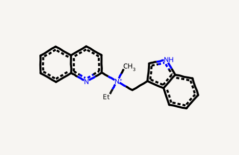 CC[N+](C)(Cc1c[nH]c2ccccc12)c1ccc2ccccc2n1